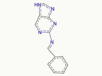 C(=Nc1ncc2[nH]cnc2n1)c1ccccc1